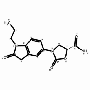 CCCN1C(=O)Cc2cc(N3C[C@H](C(N)=O)OC3=O)ccc21